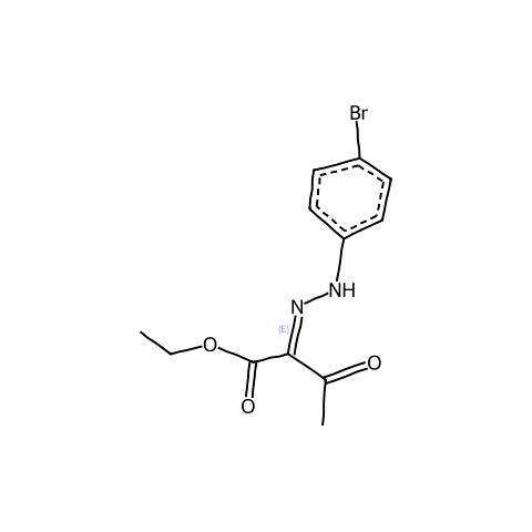 CCOC(=O)/C(=N/Nc1ccc(Br)cc1)C(C)=O